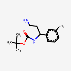 Cc1cccc(C(CCN)NC(=O)OC(C)(C)C)c1